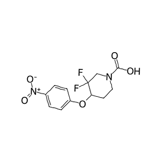 O=C(O)N1CCC(Oc2ccc([N+](=O)[O-])cc2)C(F)(F)C1